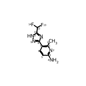 Cc1nc(N)ccc1-c1n[nH]c(C(F)F)n1